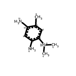 Cc1cc([SH](C)C)c(N)cc1N